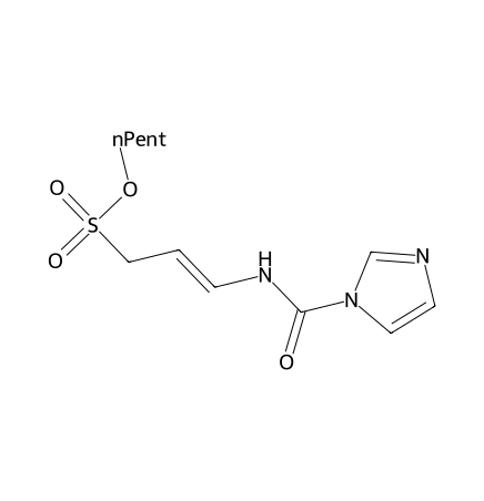 CCCCCOS(=O)(=O)CC=CNC(=O)n1ccnc1